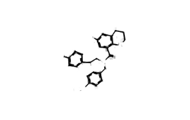 CC(C)(C)c1ccc(CN(CCc2ccc(F)cc2)C(=O)c2cc(F)cc3c2NCCC3)cc1